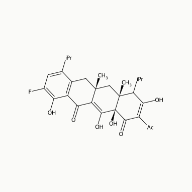 CC(=O)C1=C(O)C(C(C)C)[C@@]2(C)C[C@@]3(C)Cc4c(C(C)C)cc(F)c(O)c4C(=O)C3=C(O)[C@@]2(O)C1=O